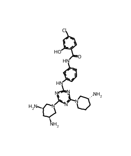 N[C@@H]1CCCN(c2nc(Nc3cccc(NC(=O)c4ccc(Cl)cc4O)c3)nc(N3C[C@H](N)C[C@H](N)C3)n2)C1